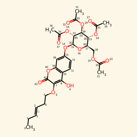 CC/C=C/CCOc1c(O)c2ccc(O[C@@H]3O[C@H](COC(C)=O)[C@@H](OC(C)=O)[C@H](OC(C)=O)[C@H]3OC(C)=O)cc2oc1=O